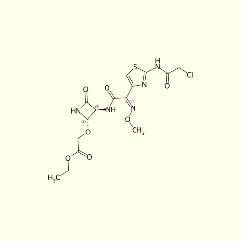 CCOC(=O)CO[C@@H]1NC(=O)[C@H]1NC(=O)/C(=N\OC)c1csc(NC(=O)CCl)n1